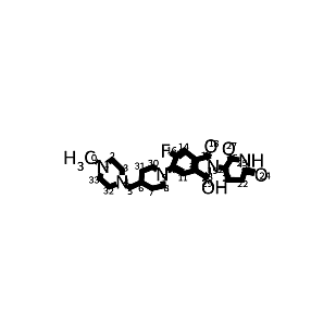 CN1CCN(CC2CCN(c3cc4c(cc3F)C(=O)N(C3CCC(=O)NC3=O)C4O)CC2)CC1